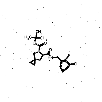 CC(C)(C)OC(=O)N1CC2(CC2)CC1C(=O)NCc1cccc(Cl)c1F